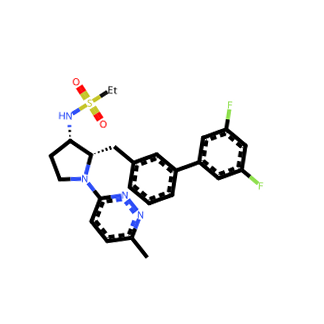 CCS(=O)(=O)N[C@H]1CCN(c2ccc(C)nn2)[C@H]1Cc1cccc(-c2cc(F)cc(F)c2)c1